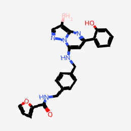 Bc1cnn2c(NCc3ccc(CNC(=O)c4ccco4)cc3)cc(-c3ccccc3O)nc12